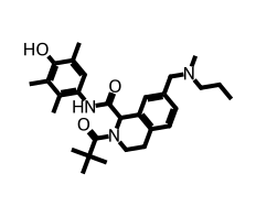 CCCN(C)Cc1ccc2c(c1)C(C(=O)Nc1cc(C)c(O)c(C)c1C)N(C(=O)C(C)(C)C)CC2